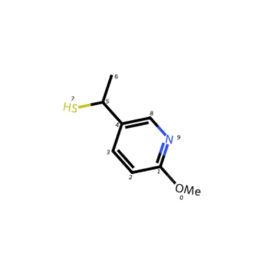 COc1ccc(C(C)S)cn1